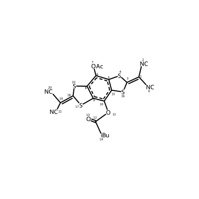 [C-]#[N+]C([N+]#[C-])=C1Sc2c(OC(C)=O)c3c(c(OC(=O)C(C)CC)c2S1)SC(=C(C#N)C#N)S3